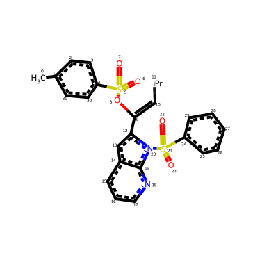 Cc1ccc(S(=O)(=O)OC(=CC(C)C)c2cc3cccnc3n2S(=O)(=O)c2ccccc2)cc1